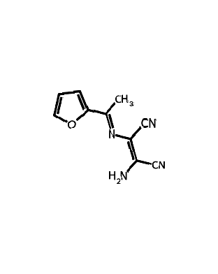 C/C(=N\C(C#N)=C(/N)C#N)c1ccco1